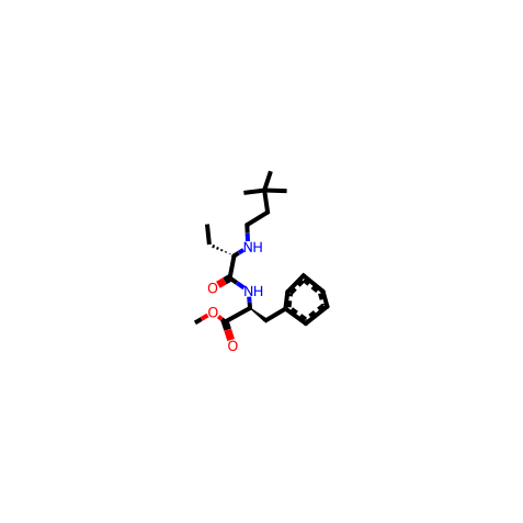 CC[C@H](NCCC(C)(C)C)C(=O)N[C@@H](Cc1ccccc1)C(=O)OC